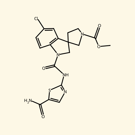 COC(=O)N1CCC2(C1)CN(C(=O)Nc1ncc(C(N)=O)s1)c1ccc(Cl)cc12